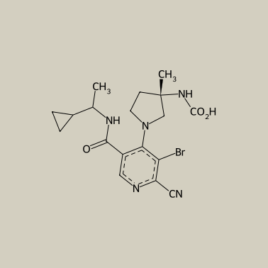 CC(NC(=O)c1cnc(C#N)c(Br)c1N1CC[C@](C)(NC(=O)O)C1)C1CC1